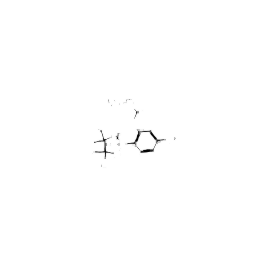 CCC1(C)OB(c2ccc(Cl)cc2OCOC)OC1(C)C